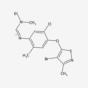 CCN(C)/C=N\c1cc(Cl)c(Oc2snc(C)c2Br)cc1C